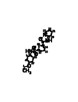 CCOc1ccc(NS(=O)(=O)c2cccc(C(=O)Nc3ccccn3)c2)cc1